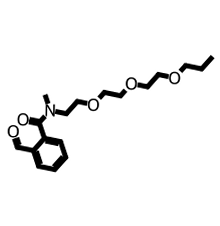 CCCOCCOCCOCCN(C)C(=O)c1ccccc1C=O